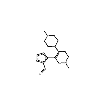 CC1CCC(C2=C(c3ccsc3C=O)CN(C)CC2)CC1